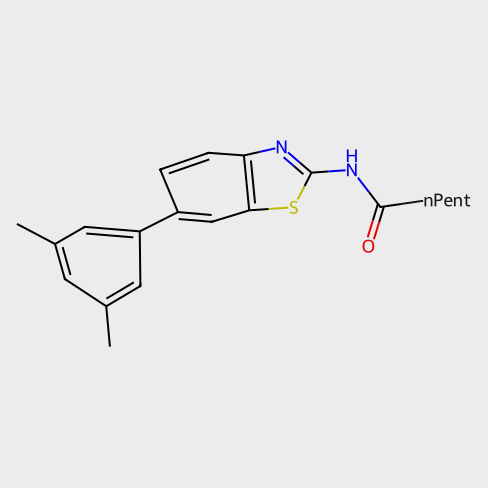 CCCCCC(=O)Nc1nc2ccc(-c3cc(C)cc(C)c3)cc2s1